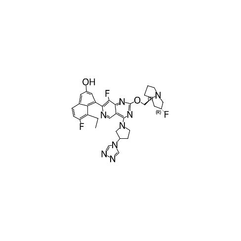 CCc1c(F)ccc2cc(O)cc(-c3ncc4c(N5CCC(n6cnnc6)C5)nc(OC[C@@]56CCCN5C[C@H](F)C6)nc4c3F)c12